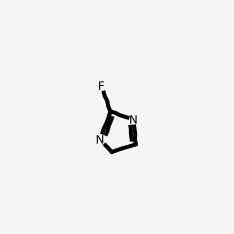 FC1=NCC=N1